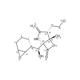 C=C1N[C@@]2([C@@H](O)[C@H]3CCCC4OC43)C(=O)O[C@@]2(C)[C@H]1CCCl